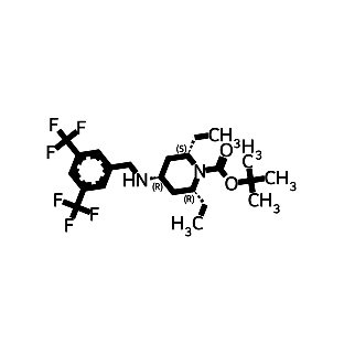 CC[C@@H]1C[C@H](NCc2cc(C(F)(F)F)cc(C(F)(F)F)c2)C[C@H](CC)N1C(=O)OC(C)(C)C